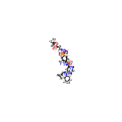 Cc1cc(S(=O)(=O)NCCC(=O)OC(C)(C)C)ccc1NC(=O)c1cc(N(CC2CC2)C2CCCCC2)ncn1